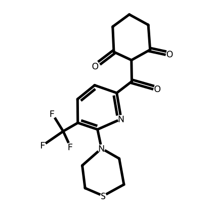 O=C1CCCC(=O)C1C(=O)c1ccc(C(F)(F)F)c(N2CCSCC2)n1